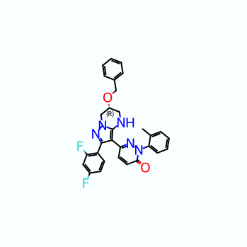 Cc1ccccc1-n1nc(-c2c(-c3ccc(F)cc3F)nn3c2NC[C@@H](OCc2ccccc2)C3)ccc1=O